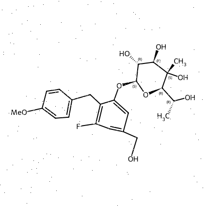 COc1ccc(Cc2c(F)cc(CO)cc2O[C@@H]2O[C@H]([C@@H](C)O)[C@@](C)(O)[C@H](O)[C@H]2O)cc1